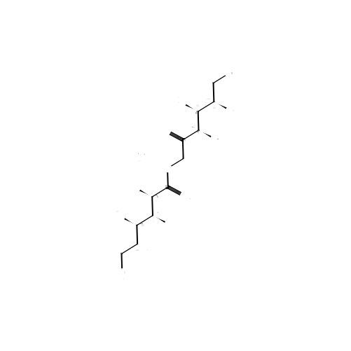 O=C(OCC(=O)[C@H](O)[C@@H](O)[C@H](O)CO)[C@H](O)[C@@H](O)[C@H](O)[C@H](O)CO.[NaH]